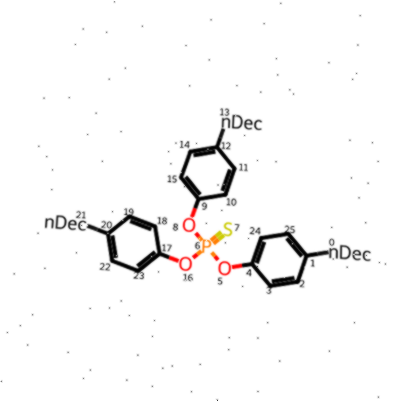 CCCCCCCCCCc1ccc(OP(=S)(Oc2ccc(CCCCCCCCCC)cc2)Oc2ccc(CCCCCCCCCC)cc2)cc1